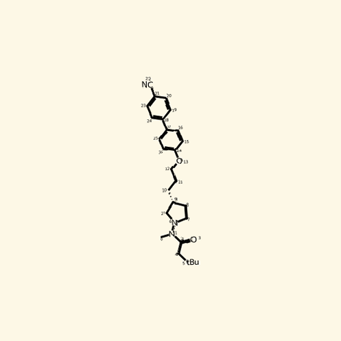 CN(C(=O)CC(C)(C)C)N1CC[C@@H](CCCOc2ccc(-c3ccc(C#N)cc3)cc2)C1